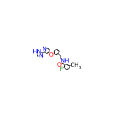 Cc1ccc(F)c(C(=O)NCCc2cccc(Oc3ccnc(C4=NCCN4)c3)c2)c1